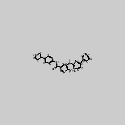 Cc1ncc(C(=O)Nc2ccc(C3CCNC3)cc2)cc1Nc1nccc(-c2cccnc2)n1